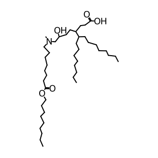 CCCCCCCCCOC(=O)CCCCCCCN(C)CC(O)CCC(CCC(=O)O)C(CCCCCCCC)CCCCCCCC